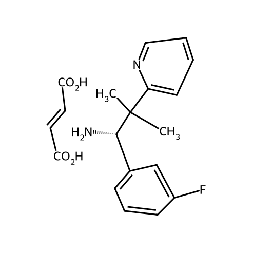 CC(C)(c1ccccn1)[C@@H](N)c1cccc(F)c1.O=C(O)C=CC(=O)O